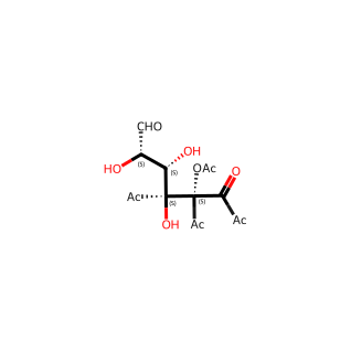 CC(=O)O[C@@](C(C)=O)(C(=O)C(C)=O)[C@](O)(C(C)=O)[C@@H](O)[C@H](O)C=O